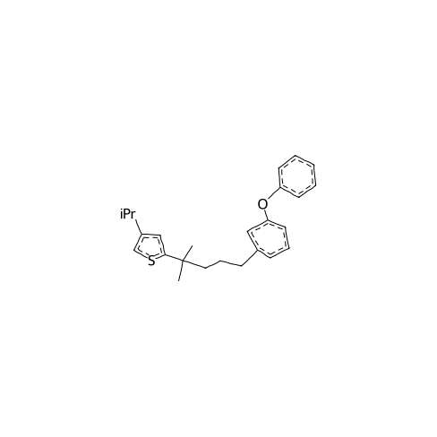 CC(C)c1csc(C(C)(C)CCCc2cccc(Oc3ccccc3)c2)c1